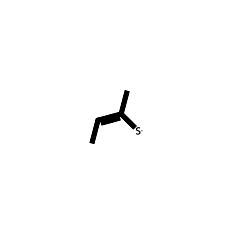 C/C=C(/C)[S]